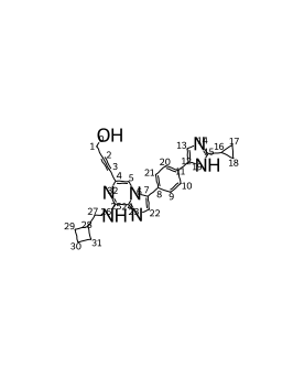 OCC#Cc1cn2c(-c3ccc(-c4cnc(C5CC5)[nH]4)cc3)cnc2c(NCC2CCC2)n1